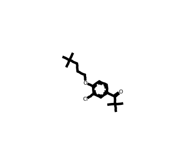 CC(C)(C)CCCOc1ccc(C(=O)C(C)(C)C)cc1Cl